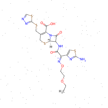 CCOCCO/N=C(/C(=O)NC1C(=O)N2C(C(=O)O)=C(CSc3nncs3)CS[C@H]12)c1csc(N)n1